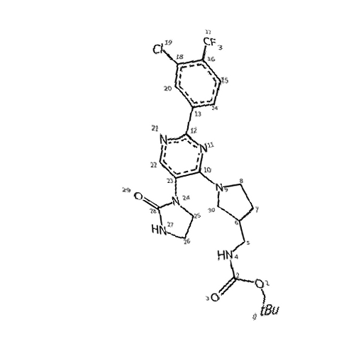 CC(C)(C)OC(=O)NCC1CCN(c2nc(-c3ccc(C(F)(F)F)c(Cl)c3)ncc2N2CCNC2=O)C1